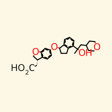 CC(O)(CC1CCOCC1)c1cccc2c1CC[C@H]2Oc1ccc2c(c1)OC[C@H]2CC(=O)O